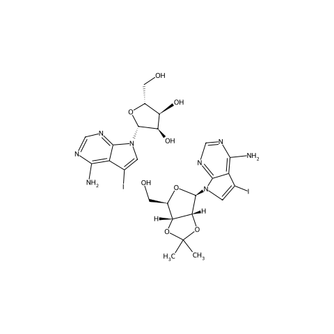 CC1(C)O[C@@H]2[C@H](O1)[C@@H](CO)O[C@H]2n1cc(I)c2c(N)ncnc21.Nc1ncnc2c1c(I)cn2[C@@H]1O[C@H](CO)[C@@H](O)[C@H]1O